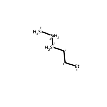 CCCC[SiH2][SiH2][SiH3]